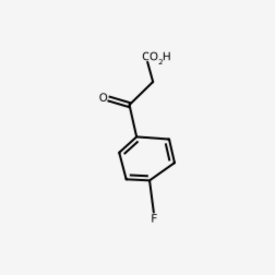 O=C(O)CC(=O)c1ccc(F)cc1